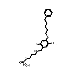 Cc1cc(CNCCCO[PH](=O)O)c(F)cc1SCCCCCc1ccccc1